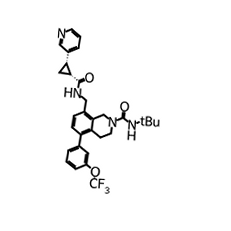 CC(C)(C)NC(=O)N1CCc2c(-c3cccc(OC(F)(F)F)c3)ccc(CNC(=O)[C@@H]3C[C@@H]3c3cccnc3)c2C1